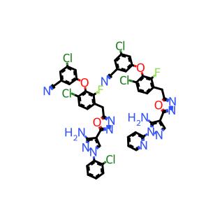 N#Cc1cc(Cl)cc(Oc2c(Cl)ccc(Cc3nnc(-c4cn(-c5ccccc5Cl)nc4N)o3)c2F)c1.N#Cc1cc(Cl)cc(Oc2c(Cl)ccc(Cc3nnc(-c4cnn(-c5ccccn5)c4N)o3)c2F)c1